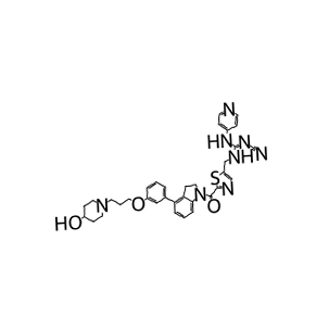 N#C/N=C(\NCc1cnc(C(=O)N2CCc3c(-c4cccc(OCCCN5CCC(O)CC5)c4)cccc32)s1)Nc1ccncc1